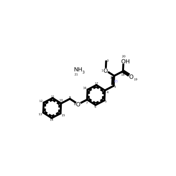 CO/C(=C\c1ccc(OCc2ccccc2)cc1)C(=O)O.N